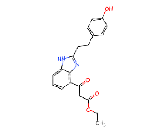 CCOC(=O)CC(=O)c1cccc2[nH]c(CCc3ccc(O)cc3)nc12